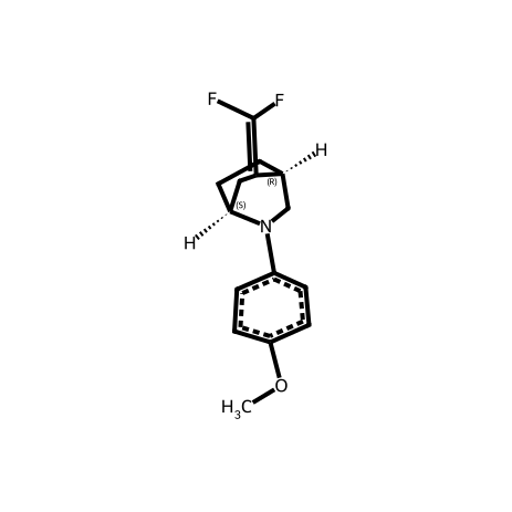 COc1ccc(N2C[C@@H]3CC[C@H]2CC3=C(F)F)cc1